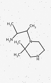 CC(N)C(C)N1CCNCC1(C)C